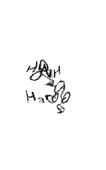 COc1cc(C=CC(=O)NO)ccc1C=CC(=O)c1cccs1